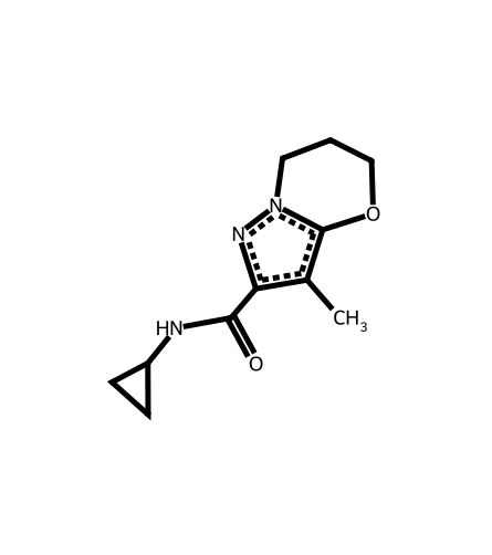 Cc1c(C(=O)NC2CC2)nn2c1OCCC2